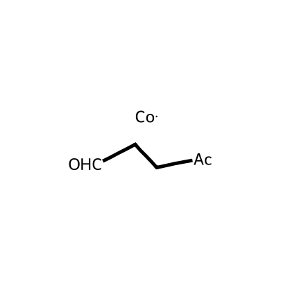 CC(=O)CCC=O.[Co]